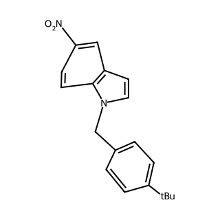 CC(C)(C)c1ccc(Cn2ccc3cc([N+](=O)[O-])ccc32)cc1